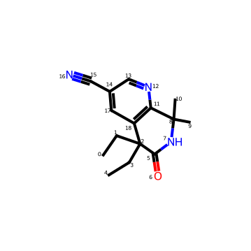 CCC1(CC)C(=O)NC(C)(C)c2ncc(C#N)cc21